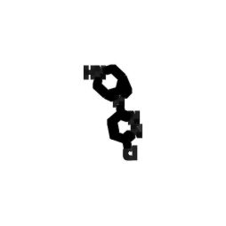 Clc1ccc(N2CC3CNCC2C3)nn1